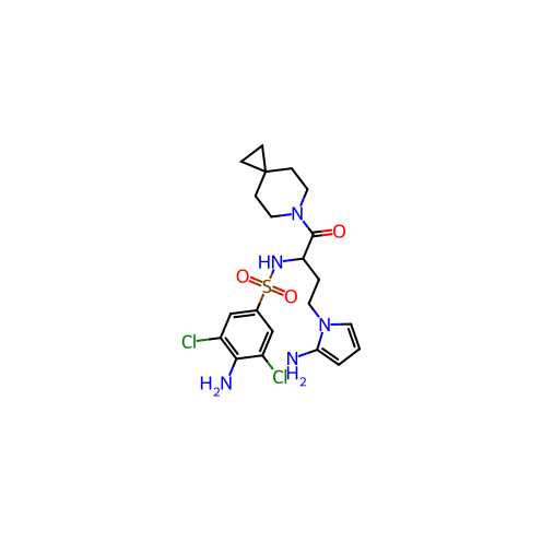 Nc1c(Cl)cc(S(=O)(=O)NC(CCn2cccc2N)C(=O)N2CCC3(CC2)CC3)cc1Cl